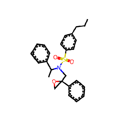 CCCc1ccc(S(=O)(=O)N(CC2(c3ccccc3)CO2)C(C)c2ccccc2)cc1